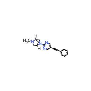 CN1C[C@@H]2C[C@H]1CN2c1ncc(C#Cc2ccccc2)cn1